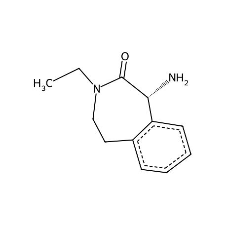 CCN1CCc2ccccc2[C@@H](N)C1=O